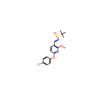 COc1nc(Oc2ccc(Cl)cc2)ccc1C=N[S@+]([O-])C(C)(C)C